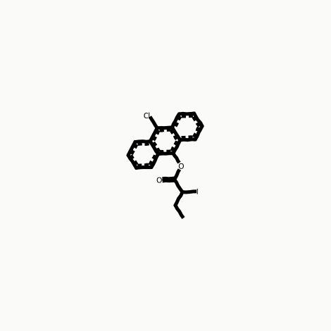 CCC(I)C(=O)Oc1c2ccccc2c(Cl)c2ccccc12